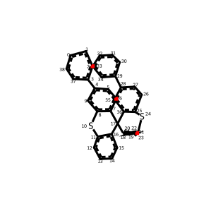 c1ccc(-c2ccc3c(c2)Sc2ccccc2C32c3ccccc3Sc3ccc(-c4ccccc4)cc32)cc1